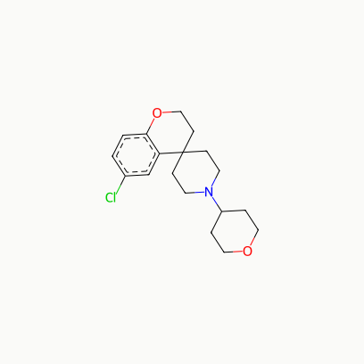 Clc1ccc2c(c1)C1(CCO2)CCN(C2CCOCC2)CC1